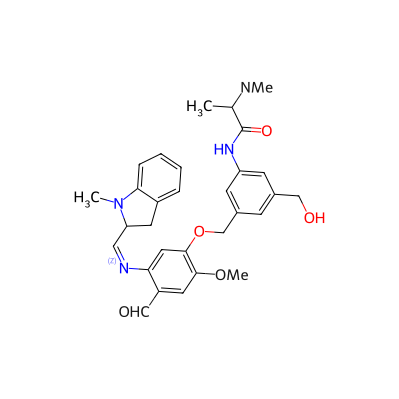 CNC(C)C(=O)Nc1cc(CO)cc(COc2cc(/N=C\C3Cc4ccccc4N3C)c(C=O)cc2OC)c1